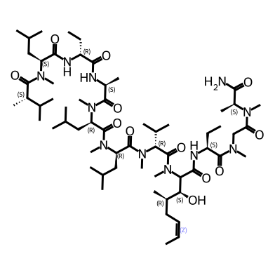 C/C=C\C[C@@H](C)[C@H](O)C(C(=O)N[C@@H](CC)C(=O)N(C)CC(=O)N(C)[C@@H](C)C(N)=O)N(C)C(=O)[C@@H](C(C)C)N(C)C(=O)[C@@H](CC(C)C)N(C)C(=O)[C@@H](CC(C)C)N(C)C(=O)[C@H](C)NC(=O)[C@@H](CC)NC(=O)[C@H](CC(C)C)N(C)C(=O)[C@@H](C)C(C)C